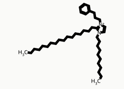 CCCCCCCCCCCCCCCCCc1n(CCCCCCCCCCC)cc[n+]1CCCc1ccccc1